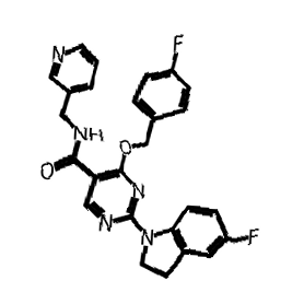 O=C(NCc1cccnc1)c1cnc(N2CCc3cc(F)ccc32)nc1OCc1ccc(F)cc1